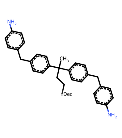 CCCCCCCCCCCCC(C)(c1ccc(Cc2ccc(N)cc2)cc1)c1ccc(Cc2ccc(N)cc2)cc1